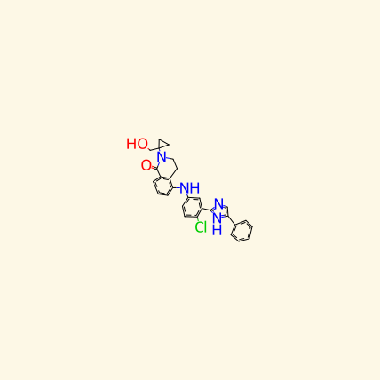 O=C1c2cccc(Nc3ccc(Cl)c(-c4ncc(-c5ccccc5)[nH]4)c3)c2CCN1C1(CO)CC1